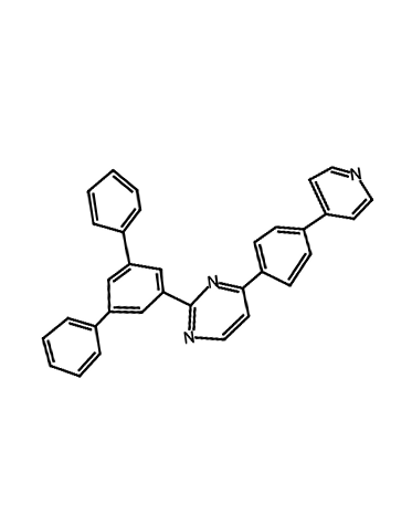 c1ccc(-c2cc(-c3ccccc3)cc(-c3nccc(-c4ccc(-c5ccncc5)cc4)n3)c2)cc1